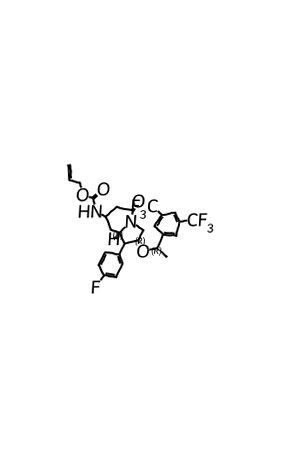 C=CCOC(=O)NC1CC(=O)N2C[C@H](O[C@H](C)c3cc(C(F)(F)F)cc(C(F)(F)F)c3)C(c3ccc(F)cc3)[C@@H]2C1